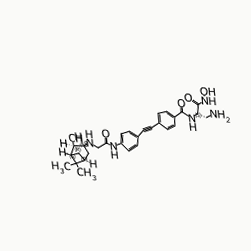 C[C@H]1[C@@H](NCC(=O)Nc2ccc(C#Cc3ccc(C(=O)N[C@@H](CN)C(=O)NO)cc3)cc2)C[C@@H]2C[C@@H]1C2(C)C